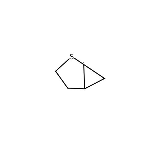 C1CC2C[C]2S1